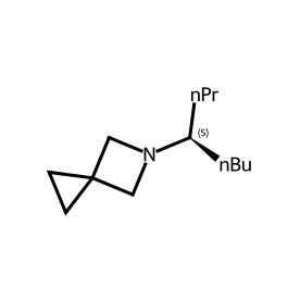 CCCC[C@H](CCC)N1CC2(CC2)C1